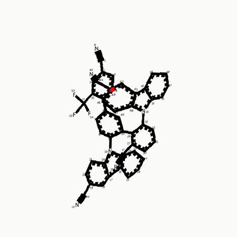 N#Cc1ccc(-c2ccc(-n3c4ccccc4c4cc(C#N)ccc43)c(-c3c(C#N)cccc3-n3c4ccccc4c4cc(C#N)ccc43)c2)c(C(F)(F)F)c1